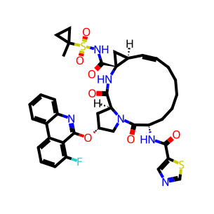 CC1(S(=O)(=O)NC(=O)[C@@]23C[C@H]2/C=C\CCCCC[C@H](NC(=O)c2cncs2)C(=O)N2C[C@H](Oc4nc5ccccc5c5cccc(F)c45)C[C@H]2C(=O)N3)CC1